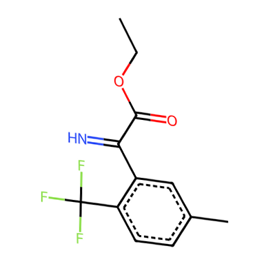 CCOC(=O)C(=N)c1cc(C)ccc1C(F)(F)F